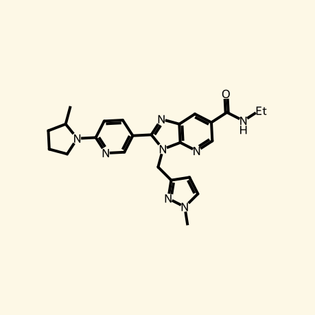 CCNC(=O)c1cnc2c(c1)nc(-c1ccc(N3CCCC3C)nc1)n2Cc1ccn(C)n1